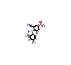 N#Cc1cc([N+](=O)[O-])cc(F)c1Nc1ccc(Br)cc1Cl